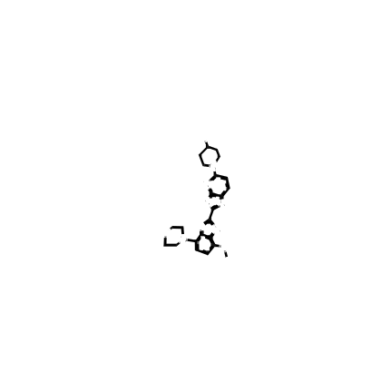 COc1ccc(N2CCOCC2)c2sc(-c3nc4ccc(N5CCC(O)CC5)nc4[nH]3)nc12